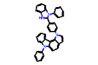 c1ccc(N2c3ccccc3NC2c2ccc(-n3ccc4ccc5c(c6ccccc6n5-c5ccccc5)c43)cc2)cc1